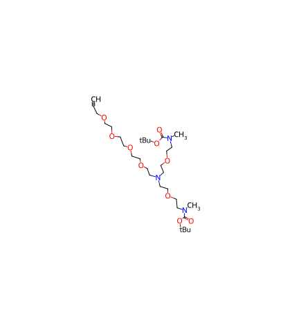 C#CCOCCOCCOCCOCCN(CCOCCN(C)C(=O)OC(C)(C)C)CCOCCN(C)C(=O)OC(C)(C)C